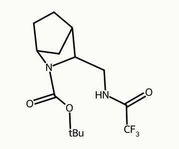 CC(C)(C)OC(=O)N1C2CCC(C2)C1CNC(=O)C(F)(F)F